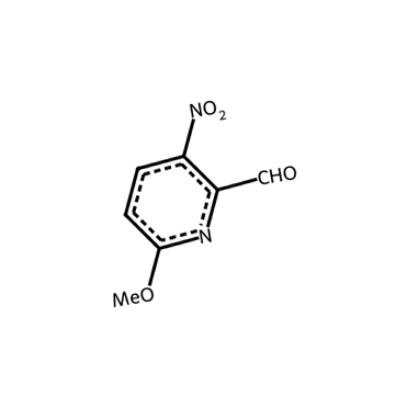 COc1ccc([N+](=O)[O-])c(C=O)n1